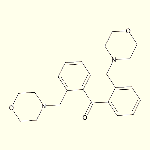 O=C(c1ccccc1CN1CCOCC1)c1ccccc1CN1CCOCC1